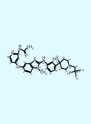 CC(=O)Nc1cc(Oc2ccc3c(c2)nc(Nc2cccc(C4(O)CCN(CC(F)(F)F)CC4)c2)n3C)ccn1